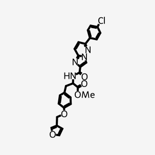 COC(=O)C(Cc1ccc(OCc2ccoc2)cc1)NC(=O)c1cn2nc(-c3ccc(Cl)cc3)ccc2n1